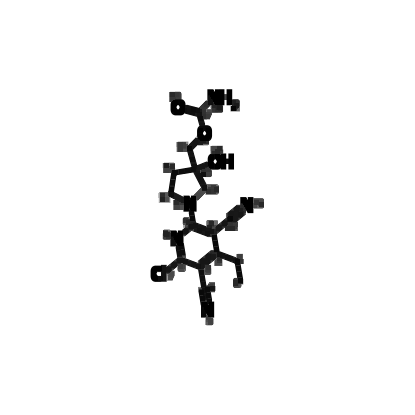 CCc1c(C#N)c(Cl)nc(N2CCC(O)(COC(N)=O)C2)c1C#N